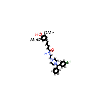 COc1cc(C=CC=CC(=O)NCCN2CCN(C(c3ccccc3)c3ccc(Cl)cc3)CC2)cc(OC)c1O